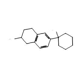 CCCCCCCC1CCc2cc(C3(CCCCC)CCCCC3)ccc2C1